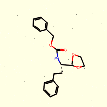 O=C(N[C@@H](CCc1ccccc1)C1OCCO1)OCc1ccccc1